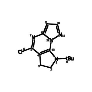 CC(C)(C)N1CCc2c(Cl)nc3ccnn3c21